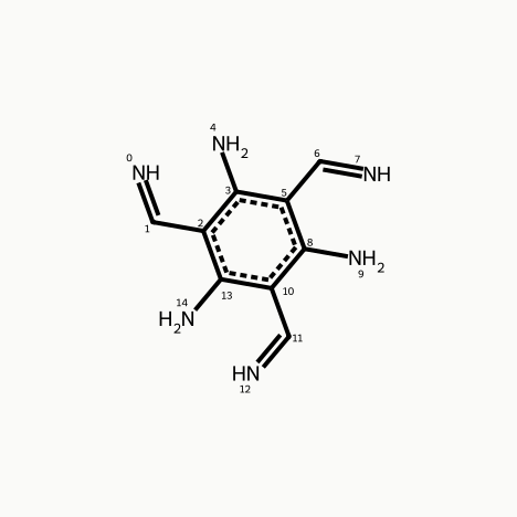 N=Cc1c(N)c(C=N)c(N)c(C=N)c1N